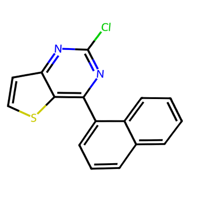 Clc1nc(-c2cccc3ccccc23)c2sccc2n1